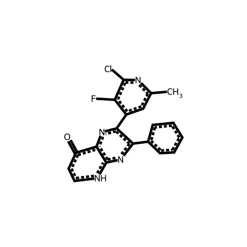 Cc1cc(-c2nc3c(=O)cc[nH]c3nc2-c2ccccc2)c(F)c(Cl)n1